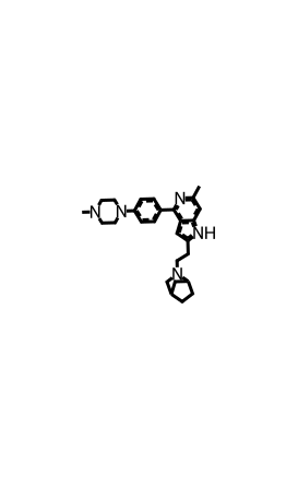 Cc1cc2[nH]c(CCN3CC4CCC3C4)cc2c(-c2ccc(N3CCN(C)CC3)cc2)n1